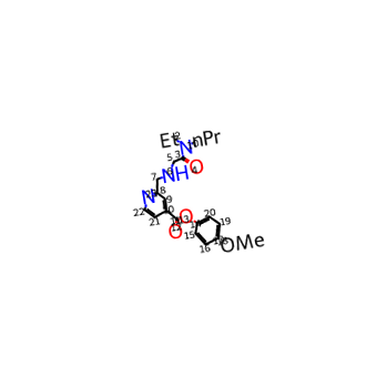 CCCN(CC)C(=O)CNCc1cc(C(=O)Oc2ccc(OC)cc2)ccn1